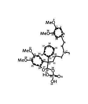 COc1ccc(CCN(C)CCCC2(c3ccccc3)c3cc(OC)c(OC)cc3OC2OP(=O)(O)O)cc1OC